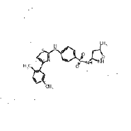 Cc1ccc(C)c(-c2csc(Nc3ccc(S(=O)(=O)NC4CC(C)ON4)cc3)n2)c1